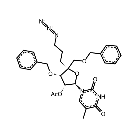 CC(=O)O[C@H]1[C@H](n2cc(C)c(=O)[nH]c2=O)O[C@](CCCN=[N+]=[N-])(COCc2ccccc2)[C@H]1OCc1ccccc1